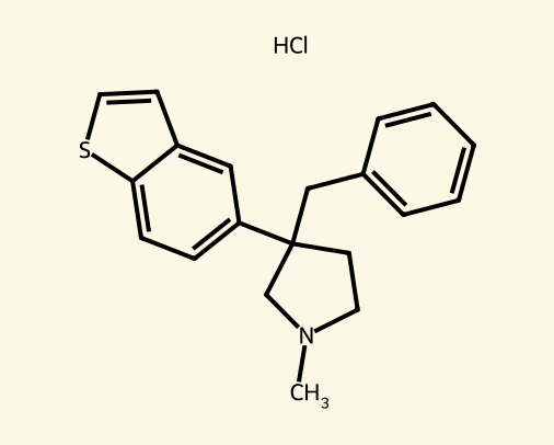 CN1CCC(Cc2ccccc2)(c2ccc3sccc3c2)C1.Cl